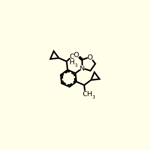 CC(c1cccc(C(C)C2CC2)c1N1CCOC1=O)C1CC1